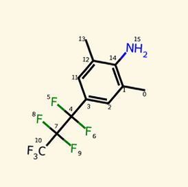 Cc1cc(C(F)(F)C(F)(F)C(F)(F)F)cc(C)c1N